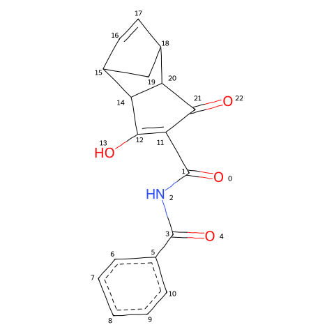 O=C(NC(=O)c1ccccc1)C1=C(O)C2C3C=CC(C3)C2C1=O